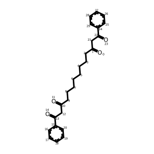 O=C(CCCCCCCCC(=O)CC(=O)c1ccccc1)CC(=O)c1ccccc1